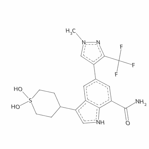 Cn1cc(-c2cc(C(N)=O)c3[nH]cc(C4CCS(O)(O)CC4)c3c2)c(C(F)(F)F)n1